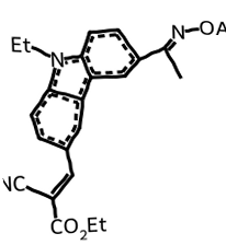 CCOC(=O)/C(C#N)=C/c1ccc2c(c1)c1cc(/C(C)=N/OC(C)=O)ccc1n2CC